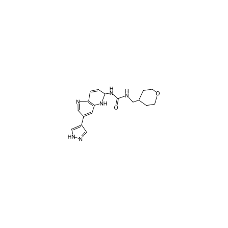 O=C(NCC1CCOCC1)NC1C=Cc2ncc(-c3cn[nH]c3)cc2N1